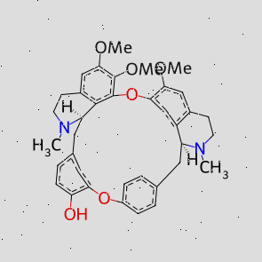 COc1cc2c3cc1Oc1c(OC)c(OC)cc4c1[C@@H](Cc1ccc(O)c(c1)Oc1ccc(cc1)C[C@@H]3N(C)CC2)N(C)CC4